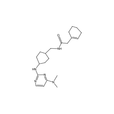 CN(C)c1ccnc(NC2CCC(CNC(=O)CC3=CCCCC3)CC2)n1